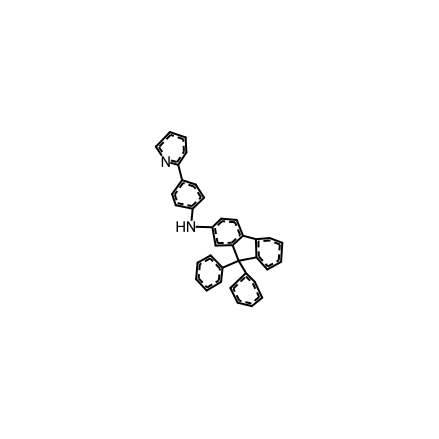 c1ccc(C2(c3ccccc3)c3ccccc3-c3ccc(Nc4ccc(-c5ccccn5)cc4)cc32)cc1